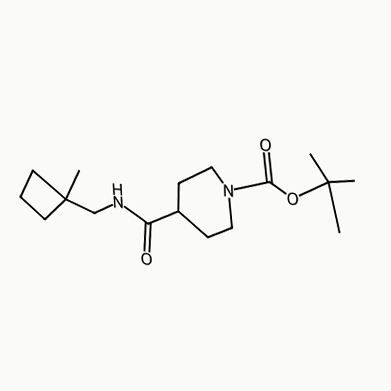 CC1(CNC(=O)C2CCN(C(=O)OC(C)(C)C)CC2)CCC1